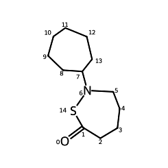 O=C1CCCCN(C2CCCCCC2)S1